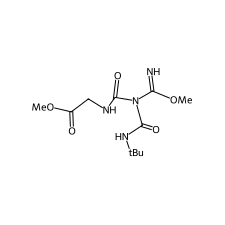 COC(=N)N(C(=O)NCC(=O)OC)C(=O)NC(C)(C)C